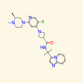 C[C@H]1CN(c2cc(N3CC(C(=O)NC(C)(C)c4cnc5ccccn45)C3)c(F)cn2)CCN1C